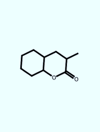 CC1CC2CCCCC2OC1=O